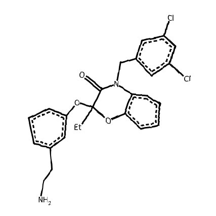 CCC1(Oc2cccc(CCN)c2)Oc2ccccc2N(Cc2cc(Cl)cc(Cl)c2)C1=O